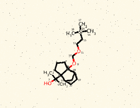 CC(C)(O)C12CCCC1(OCOCC[Si](C)(C)C)C1CCC2C1